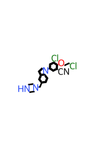 N#Cc1cc(-n2ccc3cc(CN4CCNCC4)ccc32)cc(Cl)c1OCCCl